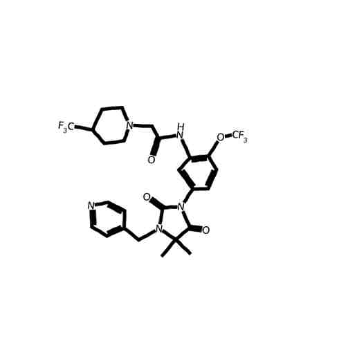 CC1(C)C(=O)N(c2ccc(OC(F)(F)F)c(NC(=O)CN3CCC(C(F)(F)F)CC3)c2)C(=O)N1Cc1ccncc1